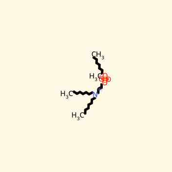 CCCCCCCCOP(=O)(OC)OC/C=C/CN(CCCCCCCC)CCCCCCCC